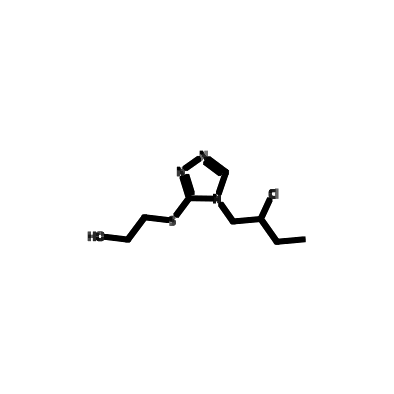 CCC(Cl)Cn1cnnc1SCCO